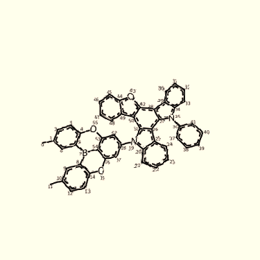 Cc1ccc2c(c1)B1c3cc(C)ccc3Oc3cc(-n4c5ccccc5c5c6c(c7ccccc7n6-c6ccccc6)c6oc7ccccc7c6c54)cc(c31)O2